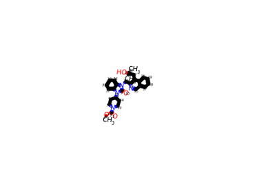 COC(=O)N1CCC(n2c(=O)n(Cc3ncc4ccccc4c3CC(C)(C)O)c3ccccc32)CC1